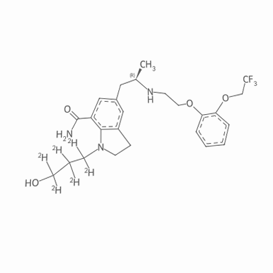 [2H]C([2H])(O)C([2H])([2H])C([2H])([2H])N1CCc2cc(C[C@@H](C)NCCOc3ccccc3OCC(F)(F)F)cc(C(N)=O)c21